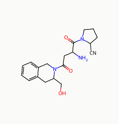 N#CC1CCCN1C(=O)C(N)CC(=O)N1Cc2ccccc2CC1CO